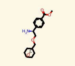 COC(=O)c1ccc([C@H](N)COCC23CCC(CC2)OC3)cc1